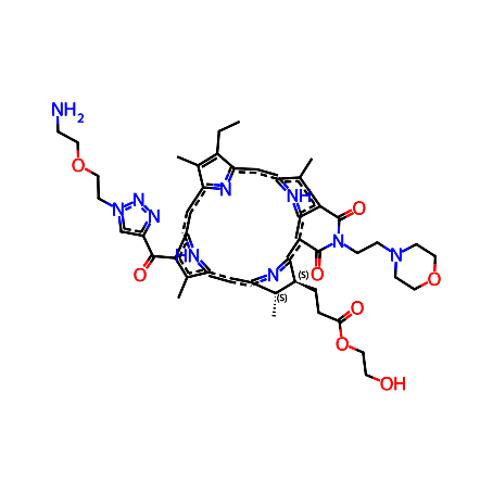 CCC1=C(C)c2cc3[nH]c(cc4nc(c5c6[nH]c(cc1n2)c(C)c6C(=O)N(CCN1CCOCC1)C5=O)[C@@H](CCC(=O)OCCO)[C@@H]4C)c(C)c3C(=O)c1cn(CCOCCN)nn1